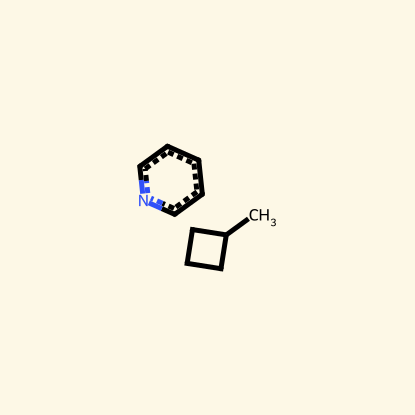 CC1CCC1.c1ccncc1